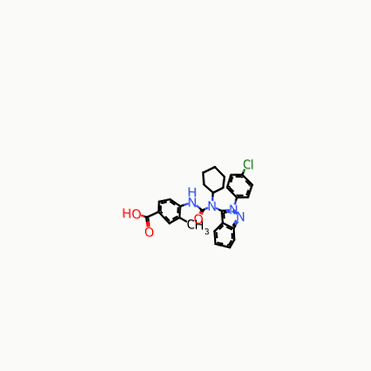 Cc1cc(C(=O)O)ccc1NC(=O)N(c1c2ccccc2nn1-c1ccc(Cl)cc1)C1CCCCC1